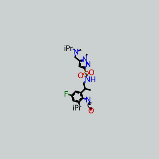 CC(C)c1cc(F)cc(C(C)CNS(=O)(=O)c2cc(CN(C)C(C)C)n(C)n2)c1N=C=O